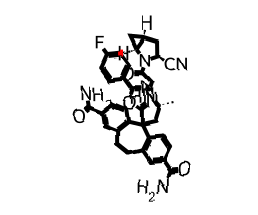 C[C@H](CC1(c2nnc(-c3ccc(F)cc3)o2)c2ccc(C(N)=O)cc2CCc2cc(C(N)=O)ccc21)NCC(=O)N1[C@H](C#N)C[C@@H]2C[C@@H]21